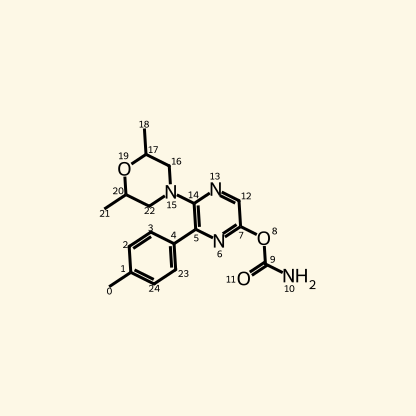 Cc1ccc(-c2nc(OC(N)=O)cnc2N2CC(C)OC(C)C2)cc1